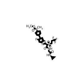 COC(=O)N(C)c1ccc(-c2cc3sc(C(C(=O)NCC(=O)NC4CC4)S(=O)(=O)CCC(F)(F)F)nc3cc2F)cc1